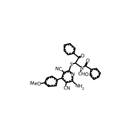 COc1ccc(-c2c(C#N)c(N)nc(SC(C(=O)c3ccccc3)N(C=O)C(=O)c3ccccc3)c2C#N)cc1